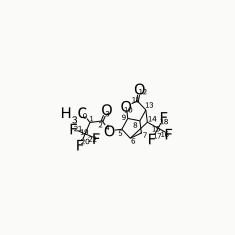 CC(C(=O)OC1C2CC3C1OC(=O)C3C2C(F)(F)F)C(F)(F)F